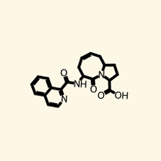 O=C(NC1CC=CCC2CCC(C(=O)O)N2C1=O)c1nccc2ccccc12